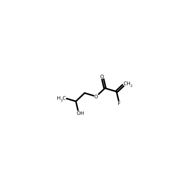 C=C(F)C(=O)OCC(C)O